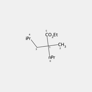 CCCC(C)(CC(C)C)C(=O)OCC